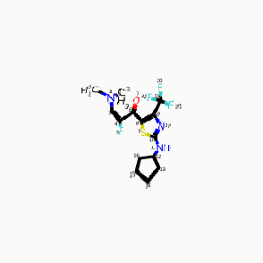 CN(C)/C=C(/F)C(=O)c1sc(NC2CCCC2)nc1C(F)(F)F